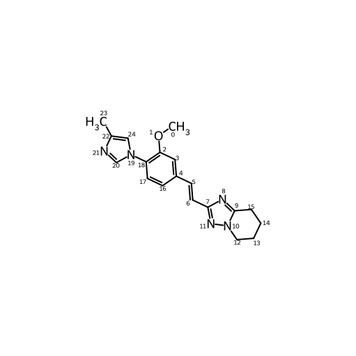 COc1cc(/C=C/c2nc3n(n2)CCCC3)ccc1-n1cnc(C)c1